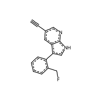 C#Cc1cnc2[nH]cc(-c3ccccc3CF)c2c1